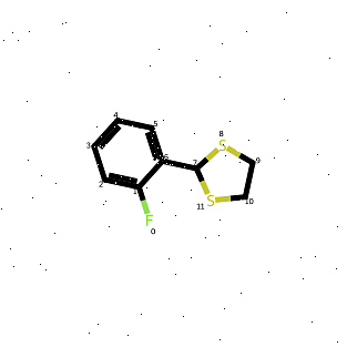 Fc1ccccc1C1SCCS1